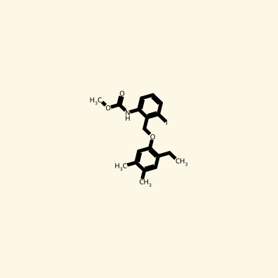 CCc1cc(C)c(C)cc1OCc1c(I)cccc1NC(=O)OC